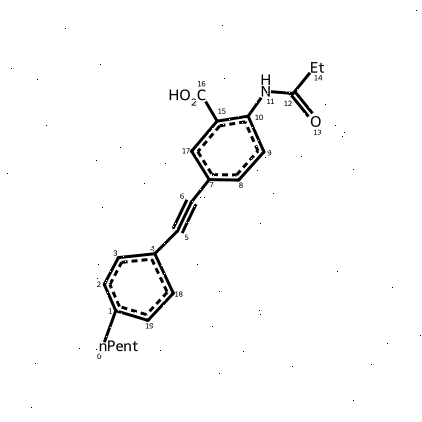 CCCCCc1ccc(C#Cc2ccc(NC(=O)CC)c(C(=O)O)c2)cc1